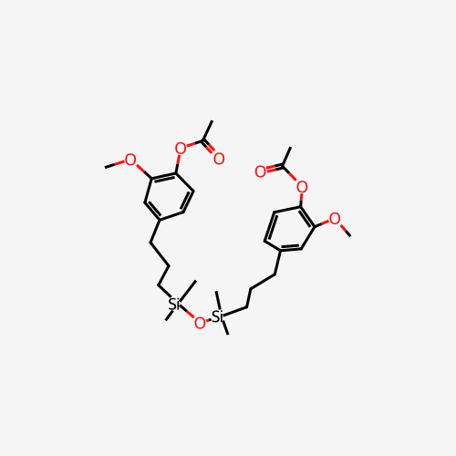 COc1cc(CCC[Si](C)(C)O[Si](C)(C)CCCc2ccc(OC(C)=O)c(OC)c2)ccc1OC(C)=O